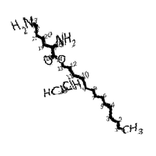 CCCCCCCCCCCCCCOC(=O)C(N)CCCCN.Cl.Cl